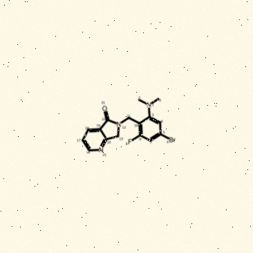 CN(C)c1cc(Br)cc(F)c1CN1Cc2ncccc2C1=O